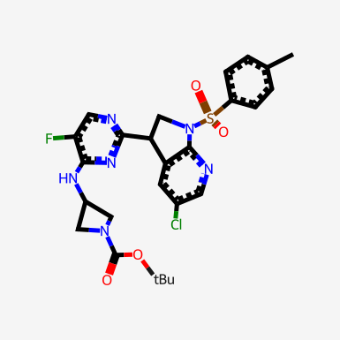 Cc1ccc(S(=O)(=O)N2CC(c3ncc(F)c(NC4CN(C(=O)OC(C)(C)C)C4)n3)c3cc(Cl)cnc32)cc1